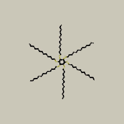 CCCCCCCCCCCCCSc1c(SCCCCCCCCCCCCC)c(SCCCCCCCCCCCCC)c(SCCCCCCCCCCCCC)c(SCCCCCCCCCCCCC)c1SCCCCCCCCCCCCC